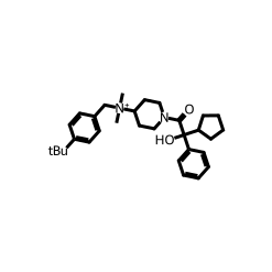 CC(C)(C)c1ccc(C[N+](C)(C)C2CCN(C(=O)C(O)(c3ccccc3)C3CCCC3)CC2)cc1